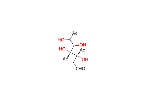 CC(=O)C(O)[C@@H](O)[C@](O)(C(C)=O)[C@](O)(CC=O)C(C)=O